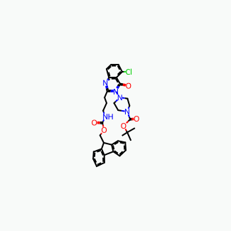 CC(C)(C)OC(=O)N1CCN(n2c(CCCNC(=O)OCC3c4ccccc4-c4ccccc43)nc3cccc(Cl)c3c2=O)CC1